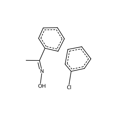 CC(=NO)c1ccccc1.Clc1ccccc1